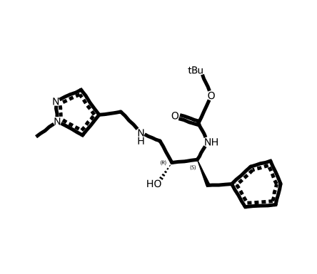 Cn1cc(CNC[C@@H](O)[C@H](Cc2ccccc2)NC(=O)OC(C)(C)C)cn1